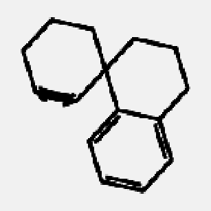 c1ccc2c(c1)CCCC21CCCc2ccccc21